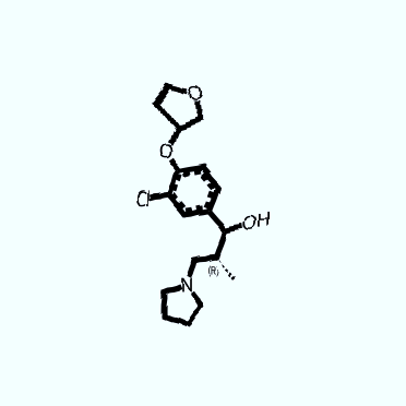 C[C@H](CN1CCCC1)C(O)c1ccc(OC2CCOC2)c(Cl)c1